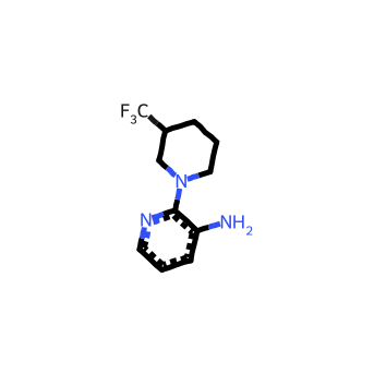 Nc1cccnc1N1CCCC(C(F)(F)F)C1